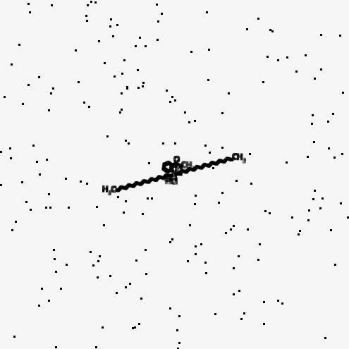 CCCCCCCCCCCCCCCCNCCCCCCCCCCCCCCCC.CNC(=O)c1ccccc1.Cl.Cl